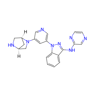 c1ccc2c(c1)c(Nc1cnccn1)nn2-c1cncc(N2C[C@@H]3C[C@H]2CN3)c1